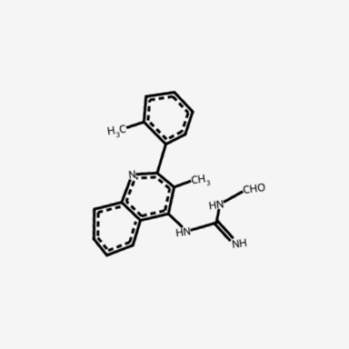 Cc1ccccc1-c1nc2ccccc2c(NC(=N)NC=O)c1C